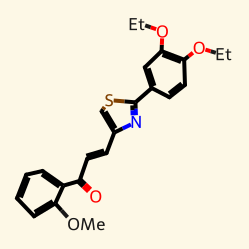 CCOc1ccc(-c2nc(C=CC(=O)c3ccccc3OC)cs2)cc1OCC